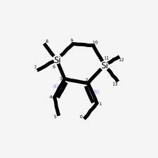 C/C=C1\C(=C/C)[Si](C)(C)CC[Si]1(C)C